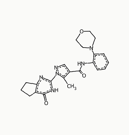 Cc1c(C(=O)Nc2ccccc2N2CCOCC2)cnn1-c1nc2c(c(=O)[nH]1)CCC2